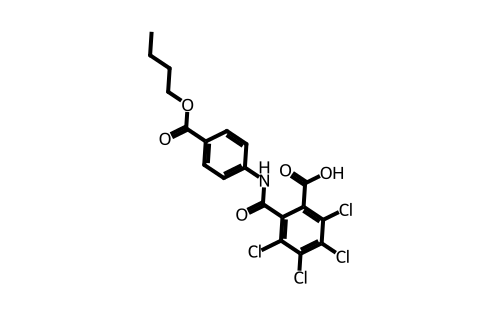 CCCCOC(=O)c1ccc(NC(=O)c2c(Cl)c(Cl)c(Cl)c(Cl)c2C(=O)O)cc1